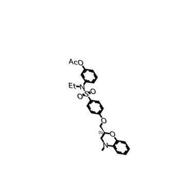 CCN(c1cccc(OC(C)=O)c1)S(=O)(=O)c1ccc(OC[C@@H]2CN(C)c3ccccc3O2)cc1